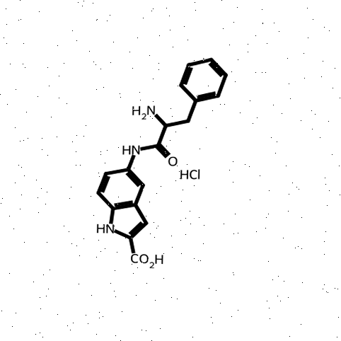 Cl.NC(Cc1ccccc1)C(=O)Nc1ccc2[nH]c(C(=O)O)cc2c1